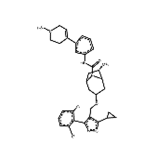 C[C@@H]1CC2C[C@H](OCc3c(-c4c(Cl)cccc4Cl)noc3C3CC3)CC1N2C(=O)Nc1cccc(C2=CCN(C)CC2)c1